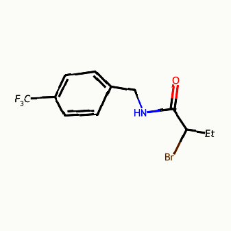 CCC(Br)C(=O)NCc1ccc(C(F)(F)F)cc1